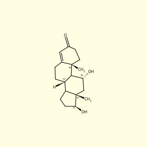 C[C@]12CCC(=O)C=C1CC[C@@H]1C2[C@H](O)C[C@@]2(C)C1CC[C@@H]2O